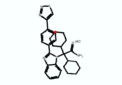 Cl.NC(=O)C(C1CCCCC1)(C1CCCCC1)n1c(-c2ccc(-c3csnn3)cc2)nc2ccccc21